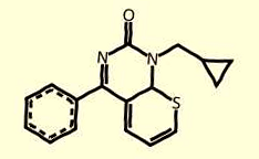 O=C1N=C(c2ccccc2)C2=CC=CSC2N1CC1CC1